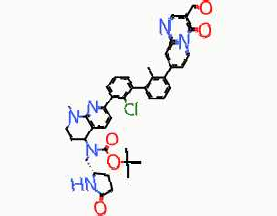 Cc1c(-c2ccn3c(=O)c(C=O)cnc3c2)cccc1-c1cccc(-c2ccc3c(n2)N(C)CCC3N(C[C@@H]2CCC(=O)N2)C(=O)OC(C)(C)C)c1Cl